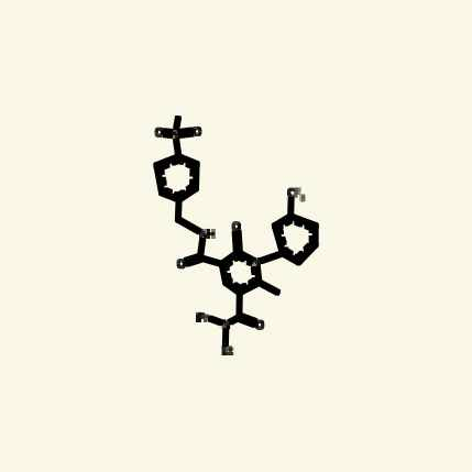 CCN(C(=O)c1cc(C(=O)NCc2ccc(S(C)(=O)=O)cc2)c(=O)n(-c2cccc(C(F)(F)F)c2)c1C)C(C)C